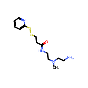 CN(CCN)CCNC(=O)CCSSc1ccccn1